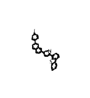 Ic1ccc(-c2ccc3ccc(-c4ccc(-c5cccc6c5sc5ccccc56)nc4)cc3c2)cc1